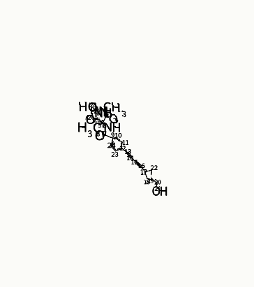 CNC(=O)C(C)(NC(=O)c1ccc(C#CC#CC2CC(CO)C2)cc1)C(=O)NO